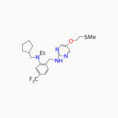 CCN(CC1CCCC1)c1cc(C(F)(F)F)ccc1CNc1ncc(OCCSC)cn1